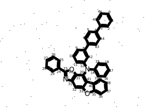 c1ccc(-c2ccc(-c3cccc(N(c4ccccc4)c4c5oc(-c6ccccc6)nc5cc5oc6ccccc6c45)c3)cc2)cc1